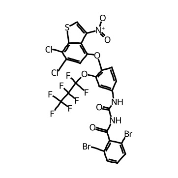 O=C(NC(=O)c1c(Br)cccc1Br)Nc1ccc(Oc2cc(Cl)c(Cl)c3scc([N+](=O)[O-])c23)c(OC(F)(F)C(F)(F)C(F)(F)F)c1